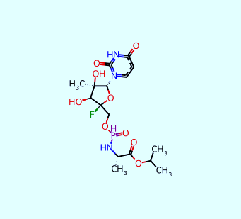 CC(C)OC(=O)[C@H](C)N[PH](=O)OC[C@@]1(F)O[C@@H](n2ccc(=O)[nH]c2=O)[C@](C)(O)[C@@H]1O